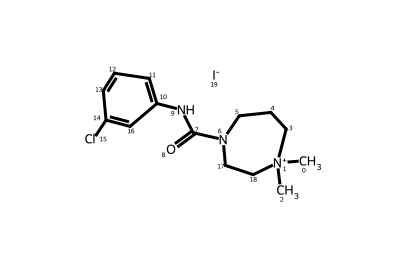 C[N+]1(C)CCCN(C(=O)Nc2cccc(Cl)c2)CC1.[I-]